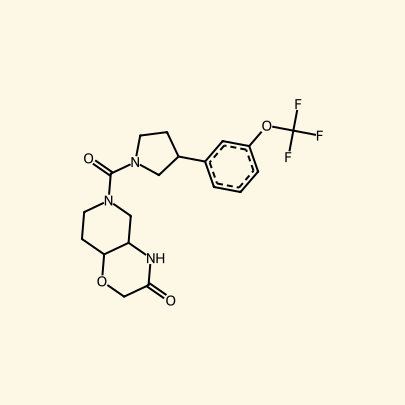 O=C1COC2CCN(C(=O)N3CCC(c4cccc(OC(F)(F)F)c4)C3)CC2N1